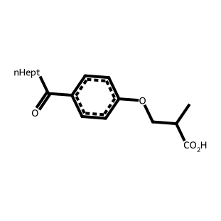 CCCCCCCC(=O)c1ccc(OCC(C)C(=O)O)cc1